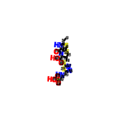 CCC(=S)NC1C(=O)N2C(C(=O)O)=C(CSc3nnc(CNCS(=O)(=O)O)s3)CS[C@@H]12